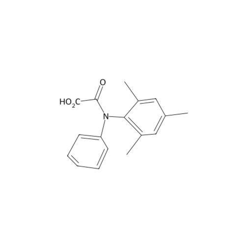 Cc1cc(C)c(N(C(=O)C(=O)O)c2ccccc2)c(C)c1